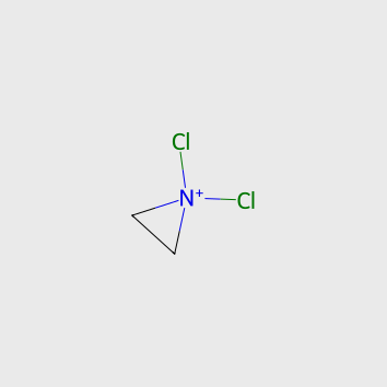 Cl[N+]1(Cl)CC1